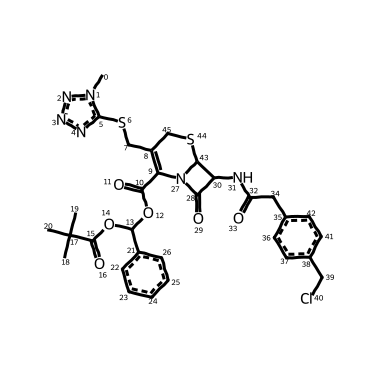 Cn1nnnc1SCC1=C(C(=O)OC(OC(=O)C(C)(C)C)c2ccccc2)N2C(=O)C(NC(=O)Cc3ccc(CCl)cc3)C2SC1